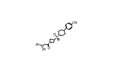 CC(C)N(CC(=O)N1CC(S(=O)(=O)N2CCC(c3ccc(C#N)cc3)CC2)C1)C(C)C